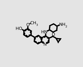 COc1cc(-c2ccc3ncc(C(=O)C4CC4)c(NC4CCC(N)CC4)c3c2)ccc1O